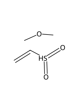 C=C[SH](=O)=O.COC